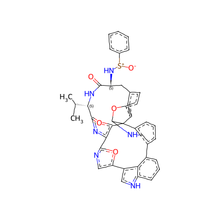 CC(C)[C@@H]1NC(=O)[C@@H](N[S+]([O-])c2ccccc2)Cc2ccc3c(c2)C24c5cccc(c5NC2O3)-c2cccc3[nH]cc(c23)-c2cnc(o2)-c2nc1oc24